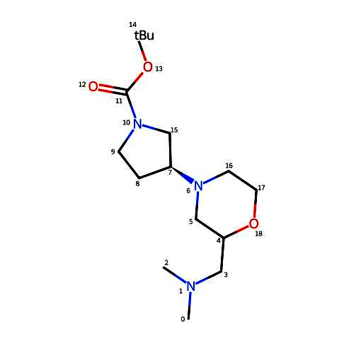 CN(C)CC1CN([C@H]2CCN(C(=O)OC(C)(C)C)C2)CCO1